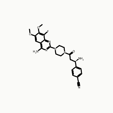 COc1cc2c(N)nc(N3CCN(C(=O)C[C@@H](N)c4ccc(C#N)cc4)CC3)nc2c(F)c1OC